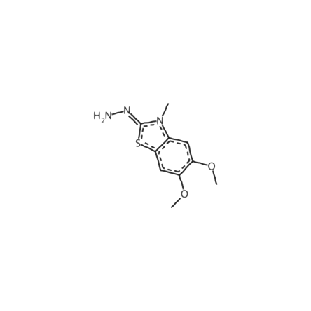 COc1cc2s/c(=N\N)n(C)c2cc1OC